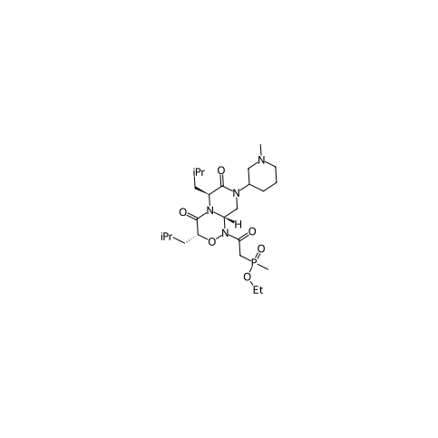 CCOP(C)(=O)CC(=O)N1O[C@H](CC(C)C)C(=O)N2[C@@H]1CN(C1CCCN(C)C1)C(=O)[C@@H]2CC(C)C